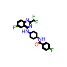 O=C(NC1CCC(Nc2nc(C(F)F)nc3ccc(F)cc23)CC1)c1ccc(F)cc1